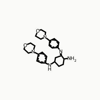 NC1CCC(Nc2ccc(N3CCOCC3)cc2)CC1=Nc1ccc(N2CCOCC2)cc1